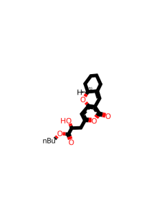 CCCCOC(=O)C(O)Cc1cc2c(c(=O)o1)C=C1CCCC[C@@H]1O2